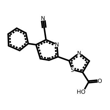 N#Cc1nc(-c2ncc(C(=O)O)s2)ccc1-c1ccccc1